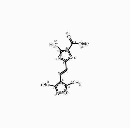 CCCCc1noc(C)c1/C=C/c1nc(C)c(C(=O)OC)s1